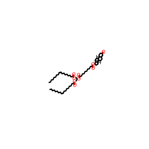 CCCCCCCC/C=C\CCCCCCCC(=O)OCC(COC(=O)CCCCCCC/C=C\CCCCCCCC)OC(=O)CCCCCCCCC(=O)O[C@H]1CC[C@H]2[C@@H]3CCC4=CC(=O)CC[C@]4(C)[C@H]3CC[C@]12C